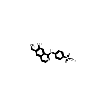 CCc1cc2ccnc(Nc3ccc(S(C)(=O)=O)cc3)c2cc1O